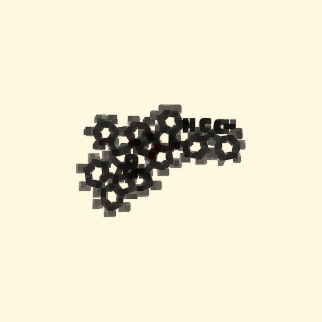 CC1(C)c2ccccc2-c2ccc(N(c3ccc(-c4ccc5c(c4)C4(c6ccccc6-5)c5ccccc5C5C(c6ccccc6)=C(c6ccccc6)OC54C)cc3)c3ccccc3-c3ccccc3)cc21